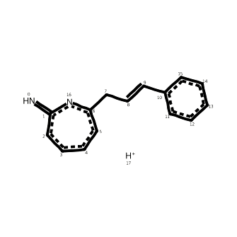 N=c1ccccc(CC=Cc2ccccc2)n1.[H+]